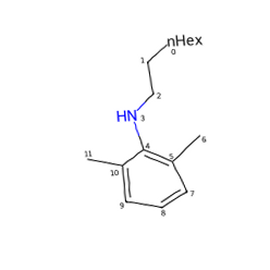 CCCCCCCCNc1c(C)cccc1C